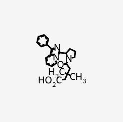 CC(C)(CC(=O)O)CC(=O)N1CCCC1c1nc(-c2ccccc2)c2ccccn12